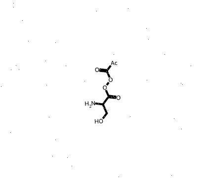 CC(=O)C(=O)OOC(=O)C(N)CO